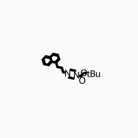 CC(C)(C)OC(=O)N1CCN(CCCc2cccc3ccccc23)CC1